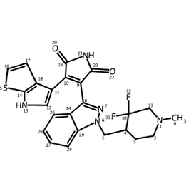 CN1CCC(Cn2nc(C3=C(c4c[nH]c5sccc45)C(=O)NC3=O)c3ccccc32)C(F)(F)C1